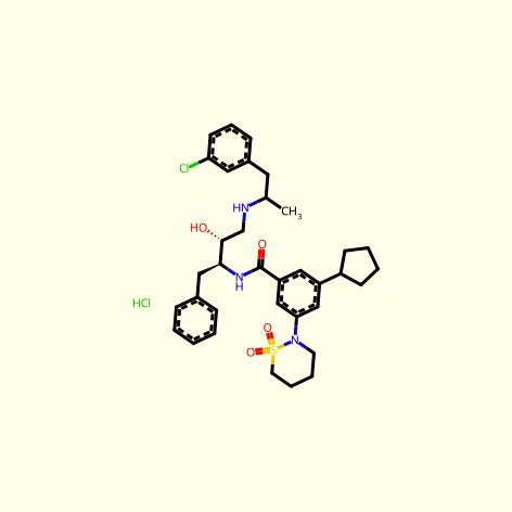 CC(Cc1cccc(Cl)c1)NC[C@@H](O)[C@H](Cc1ccccc1)NC(=O)c1cc(C2CCCC2)cc(N2CCCCS2(=O)=O)c1.Cl